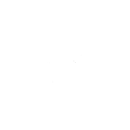 CCCOC1CN(C(=O)O)CC(Cl)C1Cl